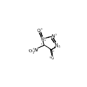 O=C1N=N[N+](=O)C1[N+](=O)[O-]